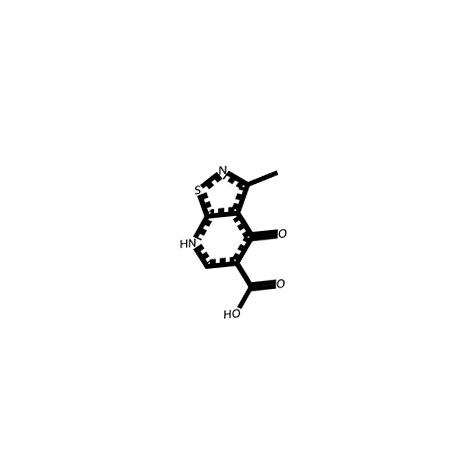 Cc1nsc2[nH]cc(C(=O)O)c(=O)c12